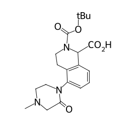 CN1CCN(c2cccc3c2CCN(C(=O)OC(C)(C)C)C3C(=O)O)C(=O)C1